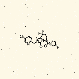 O=C([C@@H]1CCC(F)(F)c2nn(Cc3ccc(Cl)cn3)c(=O)n21)N1CC[C@H](F)C1